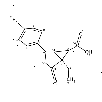 CCC12C(=O)CC(c3ccc(F)cc3)C1C2C(=O)O